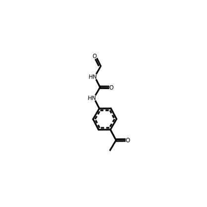 CC(=O)c1ccc(NC(=O)NC=O)cc1